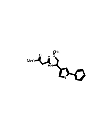 COC(=O)CC(=O)NC(COC=O)c1csc(-c2ccccc2)c1